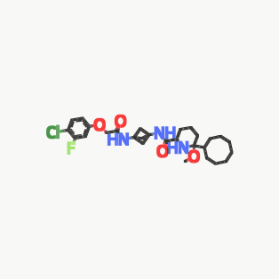 COC1(C2CCCCCCC2)CCCC(C(=O)NC23CC(NC(=O)COc4ccc(Cl)c(F)c4)(C2)C3)N1